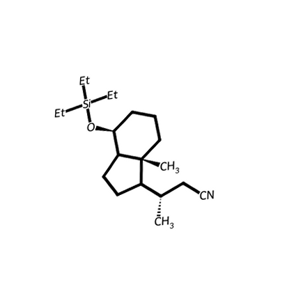 CC[Si](CC)(CC)O[C@H]1CCC[C@@]2(C)C1CCC2[C@@H](C)CC#N